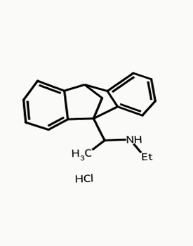 CCNC(C)C12CC(c3ccccc31)c1ccccc12.Cl